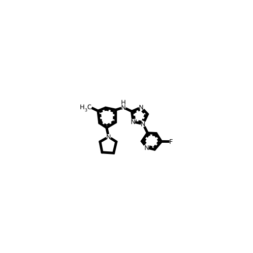 Cc1cc(Nc2ncn(-c3cncc(F)c3)n2)cc(N2CCCC2)c1